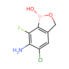 Nc1c(Cl)cc2c(c1F)B(O)OC2